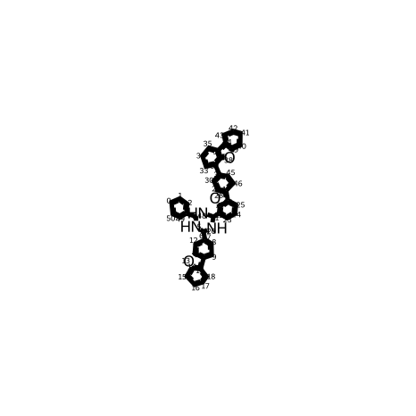 c1ccc(C2NC(c3ccc4c(c3)oc3ccccc34)NC(c3cccc4c3oc3cc(-c5cccc6c5oc5ccccc56)ccc34)N2)cc1